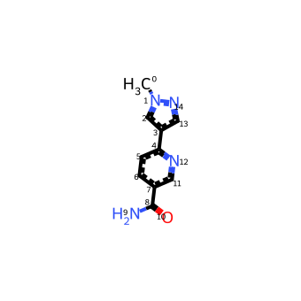 Cn1cc(-c2ccc(C(N)=O)cn2)cn1